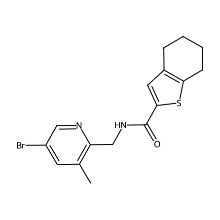 Cc1cc(Br)cnc1CNC(=O)c1cc2c(s1)CCCC2